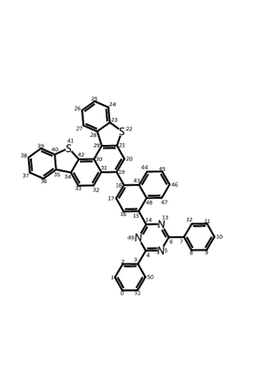 c1ccc(-c2nc(-c3ccccc3)nc(-c3ccc(-c4cc5sc6ccccc6c5c5c4ccc4c6ccccc6sc45)c4ccccc34)n2)cc1